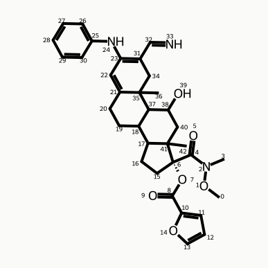 CON(C)C(=O)[C@@]1(OC(=O)c2ccco2)CCC2C3CCC4=CC(Nc5ccccc5)=C(C=N)CC4(C)C3C(O)CC21C